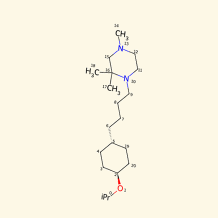 CC(C)O[C@H]1CC[C@H](CCCCN2CCN(C)CC2(C)C)CC1